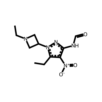 CCc1c([N+](=O)[O-])c(NC=O)nn1C1CN(CC)C1